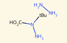 CC(C)(C)N(N)C(=O)O.NN